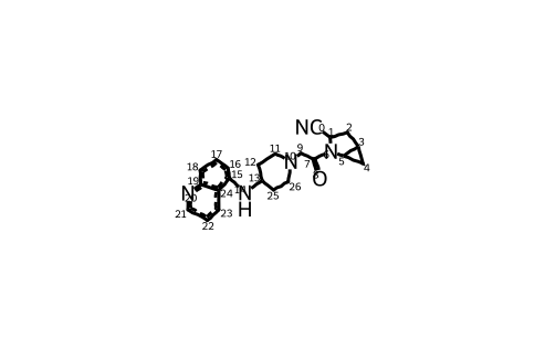 N#CC1CC2CC2N1C(=O)CN1CCC(Nc2cccc3ncccc23)CC1